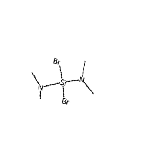 CN(C)[Si](Br)(Br)N(C)C